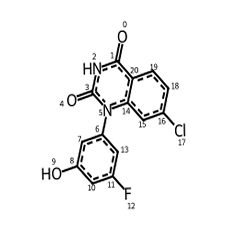 O=c1[nH]c(=O)n(-c2cc(O)cc(F)c2)c2cc(Cl)ccc12